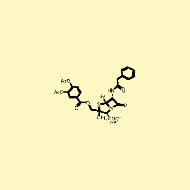 CC(=O)Oc1ccc(C(=O)OC[C@]2(C)S[C@@H]3[C@H](NC(=O)Cc4ccccc4)C(=O)N3[C@H]2C(=O)[O-])cc1OC(C)=O.[Na+]